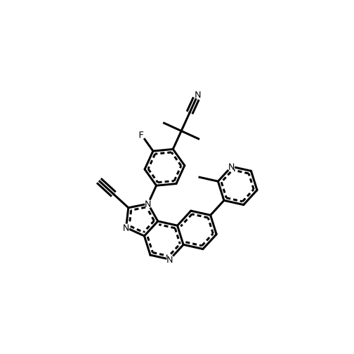 C#Cc1nc2cnc3ccc(-c4cccnc4C)cc3c2n1-c1ccc(C(C)(C)C#N)c(F)c1